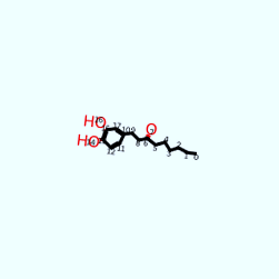 CCCCCCC(=O)CCc1ccc(O)c(O)c1